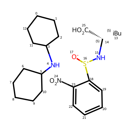 C1CCC(NC2CCCCC2)CC1.CC[C@H](C)[C@H](N[S+]([O-])c1ccccc1[N+](=O)[O-])C(=O)O